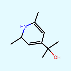 CC1=CC(C(C)(C)O)=CC(C)N1